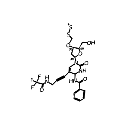 CSSCO[C@@H]1C[C@H](N2C=C(C#CCNC(=O)C(F)(F)F)C(NC(=O)c3ccccc3)NC2=O)O[C@@H]1CO